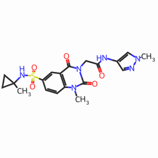 Cn1cc(NC(=O)Cn2c(=O)c3cc(S(=O)(=O)NC4(C)CC4)ccc3n(C)c2=O)cn1